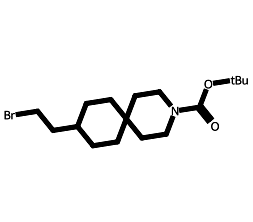 CC(C)(C)OC(=O)N1CCC2(CCC(CCBr)CC2)CC1